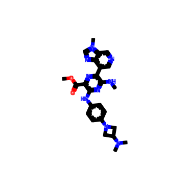 CNc1nc(Nc2ccc(N3CC(N(C)C)C3)cc2)c(C(=O)OC)nc1-c1cncc2c1ncn2C